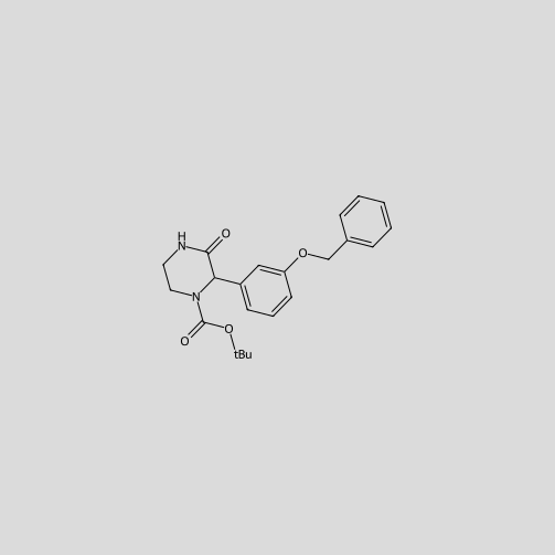 CC(C)(C)OC(=O)N1CCNC(=O)C1c1cccc(OCc2ccccc2)c1